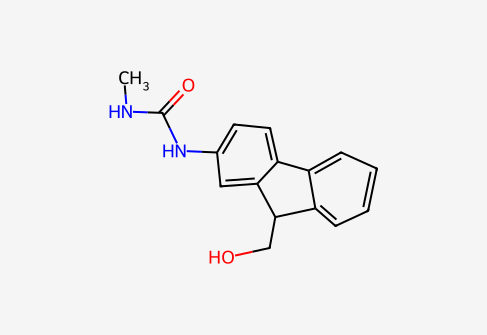 CNC(=O)Nc1ccc2c(c1)C(CO)c1ccccc1-2